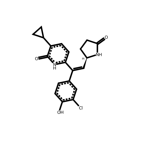 O=C1CC[C@H](C=C(c2ccc(O)c(Cl)c2)c2ccc(C3CC3)c(=O)[nH]2)N1